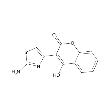 Nc1nc(-c2c(O)c3ccccc3oc2=O)cs1